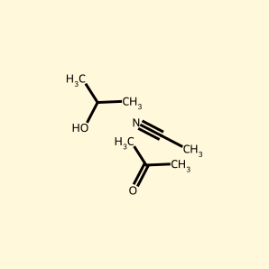 CC#N.CC(C)=O.CC(C)O